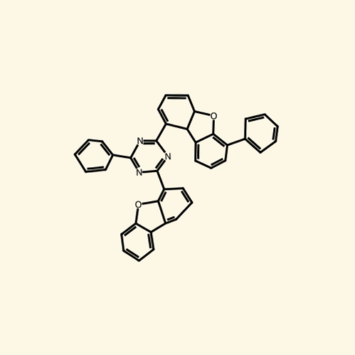 C1=CC2Oc3c(-c4ccccc4)cccc3C2C(c2nc(-c3ccccc3)nc(-c3cccc4c3oc3ccccc34)n2)=C1